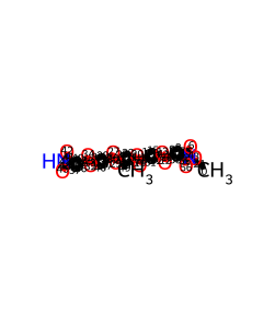 CCCON1C(=O)c2ccc(C(=O)Oc3ccc(C(=O)Oc4ccc(OC(=O)c5ccc(OC(=O)c6ccc7c(c6)C(=O)NC7=O)cc5)c(C)c4)cc3)cc2C1=O